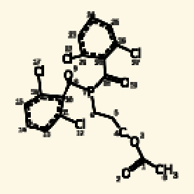 CC(=O)OCCCP(C(=O)c1c(Cl)cccc1Cl)C(=O)c1c(Cl)cccc1Cl